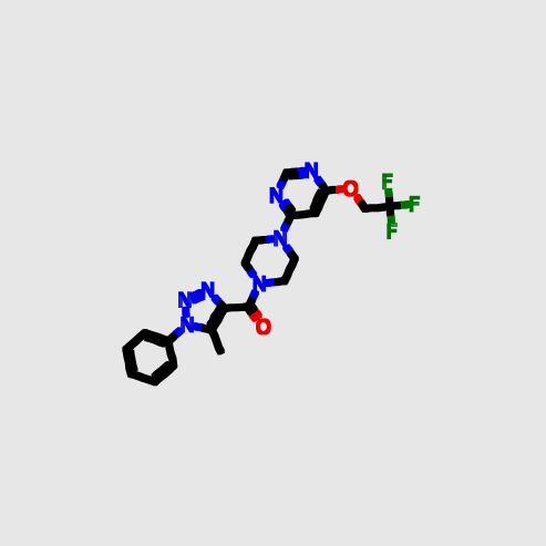 Cc1c(C(=O)N2CCN(c3cc(OCC(F)(F)F)ncn3)CC2)nnn1-c1ccccc1